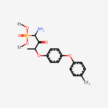 CCOP(=O)(OCC)C(N)C(=O)C(C)Oc1ccc(Oc2ccc(C(F)(F)F)cc2)cc1